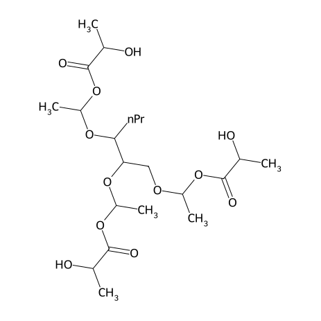 CCCC(OC(C)OC(=O)C(C)O)C(COC(C)OC(=O)C(C)O)OC(C)OC(=O)C(C)O